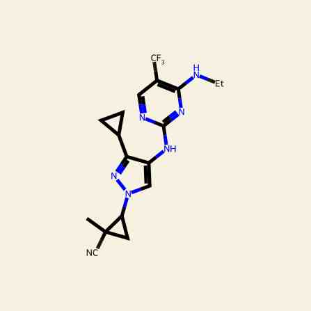 CCNc1nc(Nc2cn(C3CC3(C)C#N)nc2C2CC2)ncc1C(F)(F)F